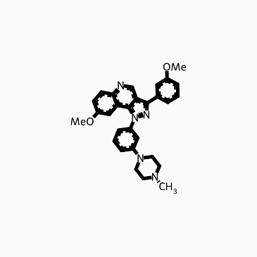 COc1cccc(-c2nn(-c3cccc(N4CCN(C)CC4)c3)c3c2cnc2ccc(OC)cc23)c1